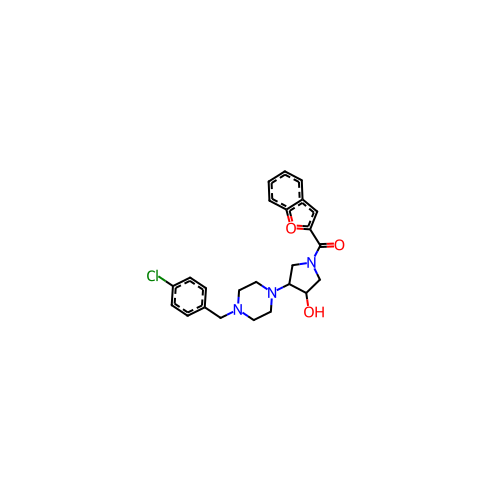 O=C(c1cc2ccccc2o1)N1CC(O)C(N2CCN(Cc3ccc(Cl)cc3)CC2)C1